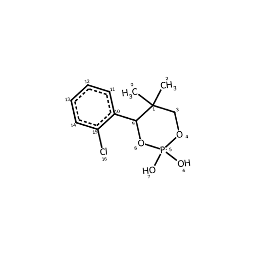 CC1(C)CO[P](O)(O)OC1c1ccccc1Cl